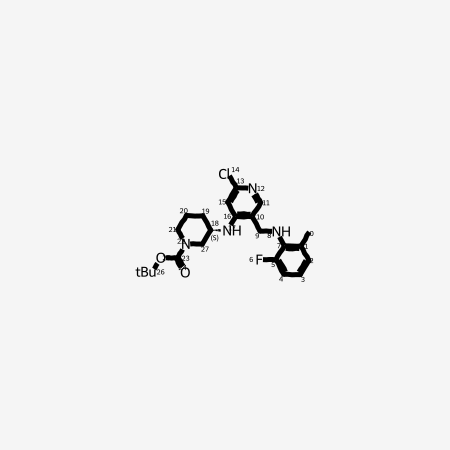 Cc1cccc(F)c1NCc1cnc(Cl)cc1N[C@H]1CCCN(C(=O)OC(C)(C)C)C1